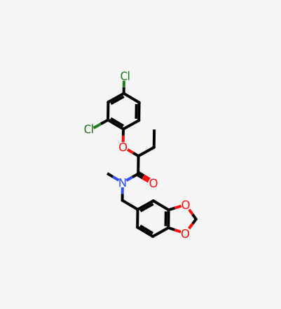 CCC(Oc1ccc(Cl)cc1Cl)C(=O)N(C)Cc1ccc2c(c1)OCO2